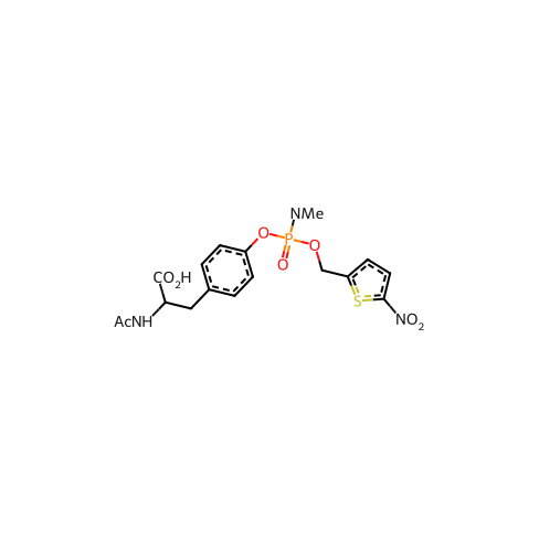 CNP(=O)(OCc1ccc([N+](=O)[O-])s1)Oc1ccc(CC(NC(C)=O)C(=O)O)cc1